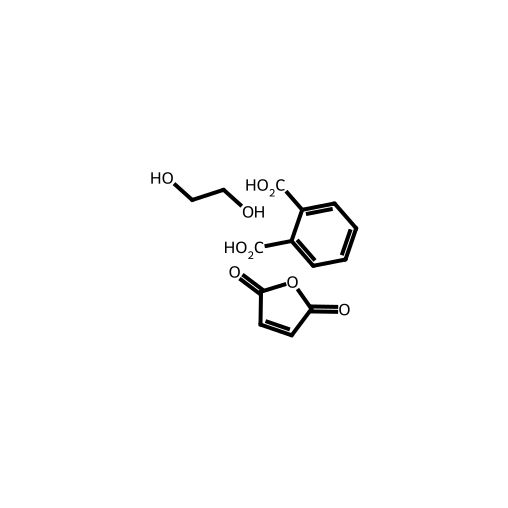 O=C(O)c1ccccc1C(=O)O.O=C1C=CC(=O)O1.OCCO